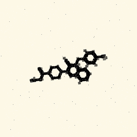 CC(C)(C)OC(=O)N1CCC(c2cc3nccnc3n(Cc3cnc(C(F)(F)F)cn3)c2=O)CC1